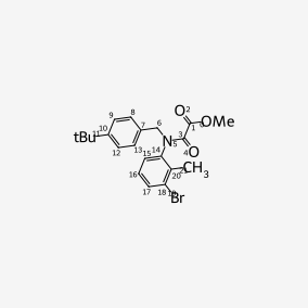 COC(=O)C(=O)N(Cc1ccc(C(C)(C)C)cc1)c1cccc(Br)c1C